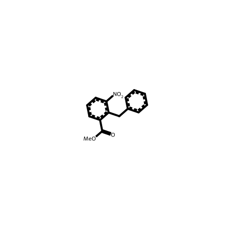 COC(=O)c1cccc([N+](=O)[O-])c1Cc1ccccc1